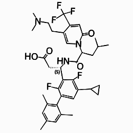 Cc1cc(C)c(-c2cc(C3CC3)c(F)c([C@H](CC(=O)O)NC(=O)C(CC(C)C)n3cc(CCN(C)C)c(C(F)(F)F)cc3=O)c2F)c(C)c1